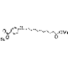 COC(=O)CCCCCCCCCCOc1ccc(C(=O)OC(C)(C)C)cc1